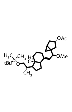 COC(/C=C1\CCC[C@@]2(C)C1CCC2[C@H](C)CO[Si](C)(C)C(C)(C)C)C12CC1C[C@H](OC(C)=O)C2